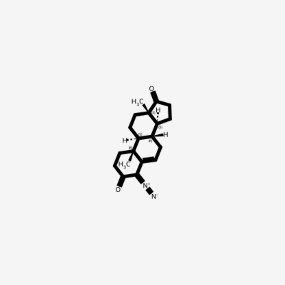 C[C@]12CCC(=O)C(=[N+]=[N-])C1=CC[C@@H]1[C@@H]2CC[C@]2(C)C(=O)CC[C@@H]12